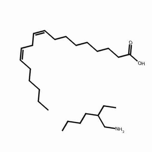 CCCCC(CC)CN.CCCCC/C=C\C/C=C\CCCCCCCC(=O)O